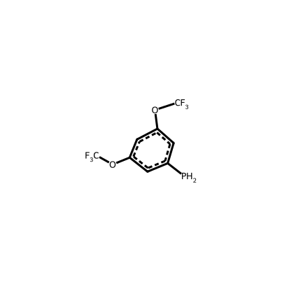 FC(F)(F)Oc1cc(P)cc(OC(F)(F)F)c1